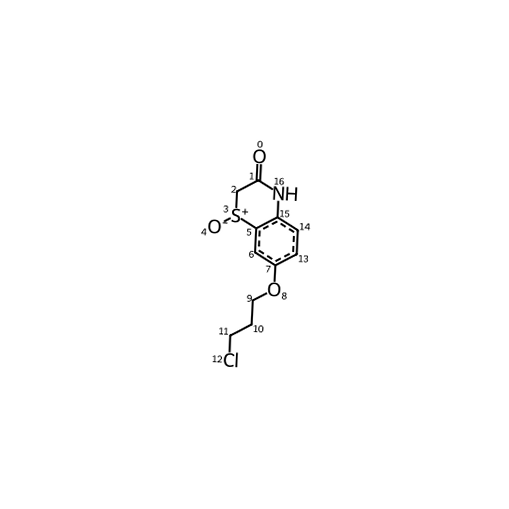 O=C1C[S+]([O-])c2cc(OCCCCl)ccc2N1